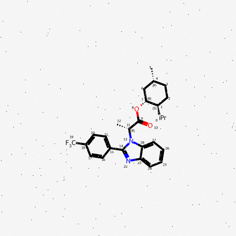 CC(C)[C@@H]1CC[C@@H](C)C[C@H]1OC(=O)[C@@H](C)n1c(-c2ccc(C(F)(F)F)cc2)nc2ccccc21